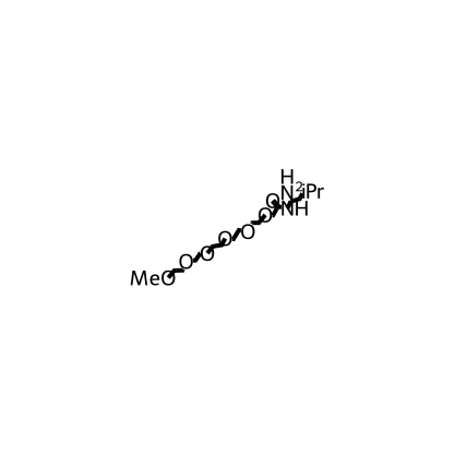 COCCOCCOCCOCCOCCOCC(=O)NC(N)CC(C)C